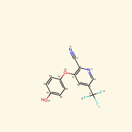 N#Cc1ncc(C(F)(F)F)cc1Oc1ccc(O)cc1